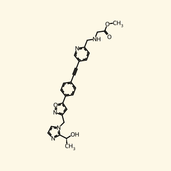 COC(=O)CNCc1ccc(C#Cc2ccc(-c3cc(Cn4ccnc4[C@H](C)O)no3)cc2)cn1